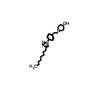 CCCCCCCCc1cn(-c2ccc(CCN3CCC(O)CC3)cc2)nn1